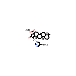 CC(=O)Nc1cncnc1.CC(=O)OOC(=O)[C@@]12CC[C@]3(C)[C@H](CC[C@@H]4[C@@]5(C)CCCC(C)(C)[C@@H]5CC[C@]43C)C1=C(C(C)C)C(=O)C2